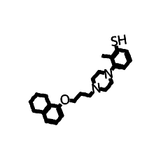 Cc1c(S)cccc1N1CCN(CCCOc2cccc3c2CCCC3)CC1